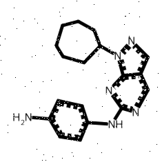 Nc1ccc(Nc2ncc3cnn(C4CCCCCC4)c3n2)cc1